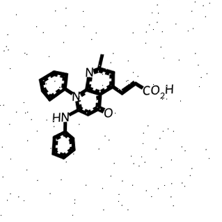 Cc1cc(/C=C/C(=O)O)c2c(=O)cc(Nc3ccccc3)n(-c3ccccc3)c2n1